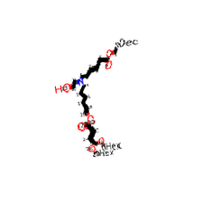 CCCCCCCCCCCOC(=O)CCCCCN(CCO)CCCCCCOC(=O)CCC(OCCCCCC)OCCCCCC